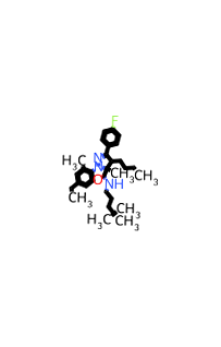 CCCCC1C(c2ccc(F)cc2)=NN(c2ccc(CC)cc2C)C1(C)C(=O)NCCCC(C)(C)C